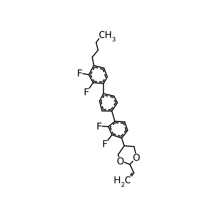 C=CC1OCC(c2ccc(-c3ccc(-c4ccc(CCCC)c(F)c4F)cc3)c(F)c2F)CO1